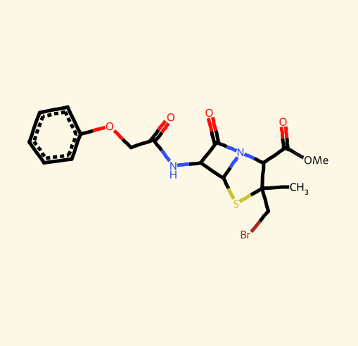 COC(=O)C1N2C(=O)C(NC(=O)COc3ccccc3)C2SC1(C)CBr